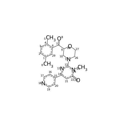 Cc1ccc(C)c(C(=O)C2CN(c3nc(-c4ccncc4)cc(=O)n3C)CCO2)c1